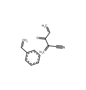 C=CC(=O)C(=C)C#N.C=Cc1ccccc1